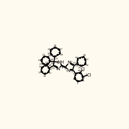 Clc1cccc(C2=NC(=C3N=C(c4ccccc4)C(c4ccccc4)(c4ccccc4)N3)N=C2c2ccccc2)c1Cl